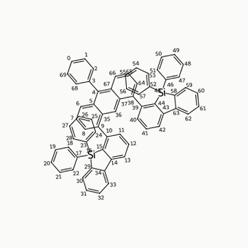 c1ccc(-c2c3cccc(-c4cccc5c4[Si](c4ccccc4)(c4ccccc4)c4ccccc4-5)c3cc3c(-c4cccc5c4[Si](c4ccccc4)(c4ccccc4)c4ccccc4-5)cccc23)cc1